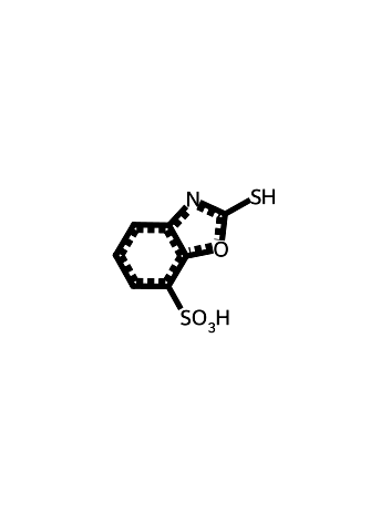 O=S(=O)(O)c1cccc2nc(S)oc12